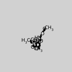 COCCOCCNC(=O)O[C@@H]1CCC2(CO2)[C@@H]([C@@]2(C)O[C@@H]2CC=C(C)C)[C@@H]1OC